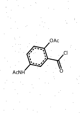 CC(=O)Nc1ccc(OC(C)=O)c(C(=O)Cl)c1